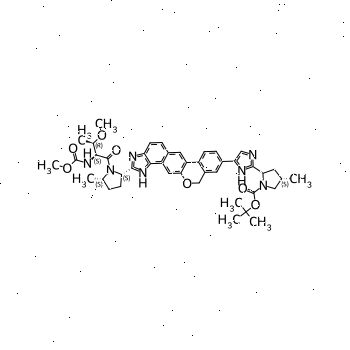 COC(=O)N[C@H](C(=O)N1[C@@H](C)CC[C@H]1c1nc2ccc3cc4c(cc3c2[nH]1)OCc1cc(-c2cnc(C3C[C@H](C)CN3C(=O)OC(C)(C)C)[nH]2)ccc1-4)[C@@H](C)OC